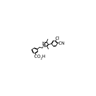 Cc1nn(CCc2cccc(C(=O)O)c2)c(C)c1-c1ccc(C#N)c(Cl)c1